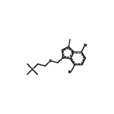 Cc1cn(COCC[Si](C)(C)C)c2c(Br)ccc(Br)c12